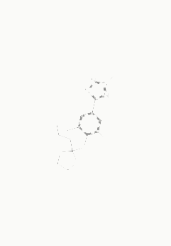 CCCC1(Oc2c(C)cc(-c3nnn(C)n3)cc2C)OCCO1